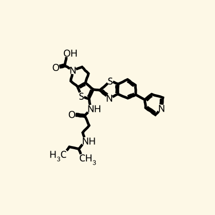 CCC(C)NCCC(=O)Nc1sc2c(c1-c1nc3cc(-c4ccncc4)ccc3s1)CCN(C(=O)O)C2